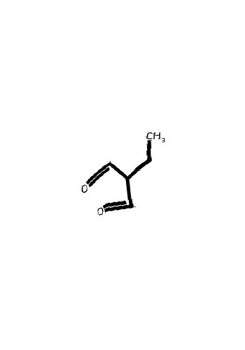 CCC([C]=O)[C]=O